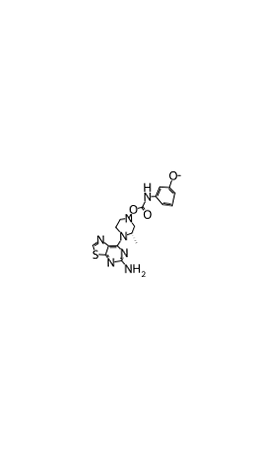 COc1cccc(NC(=O)ON2CCN(c3nc(N)nc4scnc34)[C@@H](C)C2)c1